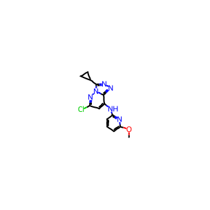 COc1cccc(Nc2cc(Cl)nn3c(C4CC4)nnc23)n1